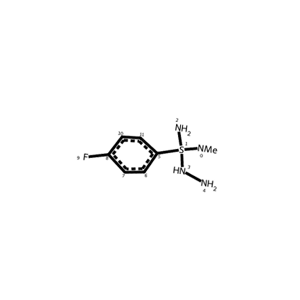 CNS(N)(NN)c1ccc(F)cc1